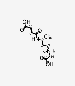 C[N+](C)(CCCNC(=O)C=CC(=O)O)CC(=O)O.[Cl-]